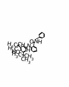 CC(C)(C)c1cc(Nc2ccccc2C(=O)NCc2ccccc2)cc(C(C)(C)C)c1O